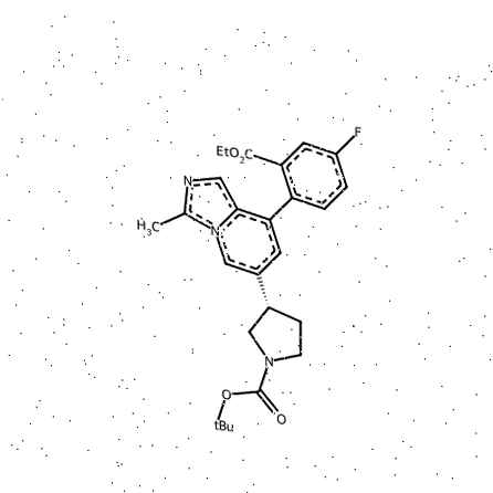 CCOC(=O)c1cc(F)ccc1-c1cc([C@@H]2CCN(C(=O)OC(C)(C)C)C2)cn2c(C)ncc12